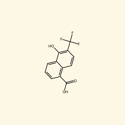 O=C(O)c1cccc2c(O)c(C(F)(F)F)ccc12